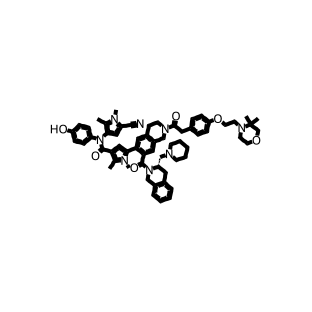 Cc1c(N(C(=O)c2cc(-c3cc4c(cc3C(=O)N3Cc5ccccc5C[C@H]3CN3CCCCC3)CN(C(=O)Cc3ccc(OCCN5CCOCC5(C)C)cc3)CC4)n(C)c2C)c2ccc(O)cc2)cc(C#N)n1C